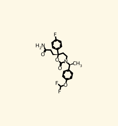 C[C@@H](c1ccc(OC(F)F)cc1)N1CC[C@@](CCC(N)=O)(c2ccc(F)cc2)OC1=O